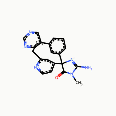 CCc1cc(C2(c3cccc(-c4cncnc4)c3)N=C(N)N(C)C2=O)ccn1